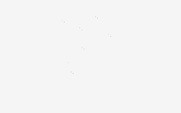 CO/N=C(\C(=O)NC1C(=O)N2C(C(=O)O)=C(Cl)CS[C@H]12)c1nccc(N)n1